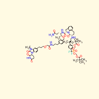 C/C(=C\CN[C@H]1CCc2cccc3c2N(C1=O)[C@H](C(=O)N[C@@H](CCC(N)=O)[C@@H](C)OCc1ccc(CCCNC(=O)COCCCc2ccc4c(c2)n(C)c(=O)n4C2CCC(=O)NC2=O)cc1)C3)c1ccc(C(F)(F)P(=O)(OCOC(=O)C(C)(C)C)OCOC(=O)C(C)(C)C)cc1